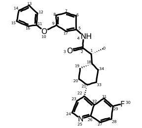 C[C@@H](C(=O)Nc1cccc(Oc2ccccc2)c1)[C@H]1CC[C@@H](c2ccnc3ccc(F)cc32)CC1